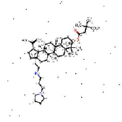 C=C(C)[C@@H]1CC[C@]2(CCNCCCN3CCCC3)CC[C@]3(C)[C@H](CC[C@@H]4[C@@]5(C)CC[C@H](OC(=O)CC(C)(C)C(=O)O)C(C)(C)[C@@H]5CC[C@]43C)[C@@H]12